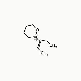 C/C=C(\CC)[SiH]1CCCCO1